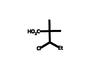 CCC(Cl)C(C)(C)C(=O)O